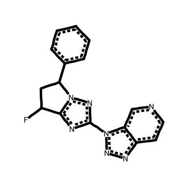 FC1CC(c2ccccc2)n2nc(-n3nnc4ccncc43)nc21